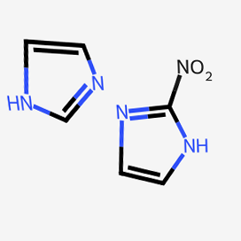 O=[N+]([O-])c1ncc[nH]1.c1c[nH]cn1